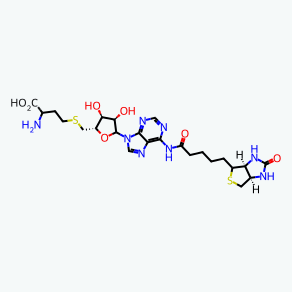 NC(CCSC[C@H]1OC(n2cnc3c(NC(=O)CCCCC4SC[C@@H]5NC(=O)N[C@H]45)ncnc32)[C@H](O)[C@@H]1O)C(=O)O